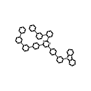 c1ccc(-c2cccc(-c3cccc(-c4ccc(-c5cc(-c6ccc(-c7cccc(-n8c9ccccc9c9ccccc98)c7)cc6)nc(-c6ccccc6-c6cccc(-c7ccccc7)c6)n5)cc4)c3)c2)cc1